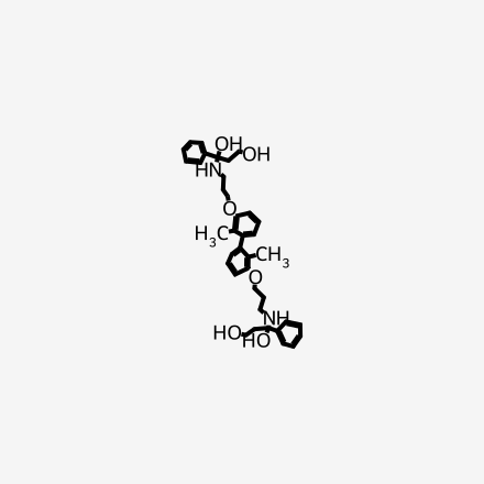 Cc1c(OCCCNC(O)(CCO)c2ccccc2)cccc1-c1cccc(OCCCNC(O)(CCO)c2ccccc2)c1C